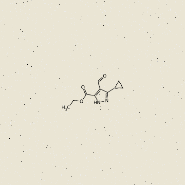 CCOC(=O)c1[nH]nc(C2CC2)c1C=O